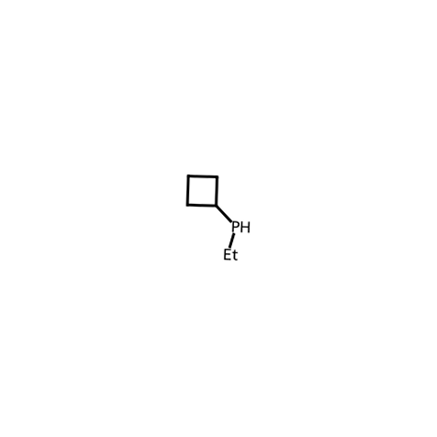 CCPC1CCC1